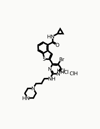 Cl.Cl.Cl.O=C(NC1CC1)c1cccc2sc(-c3nc(NCCCN4CCNCC4)ncc3Br)cc12